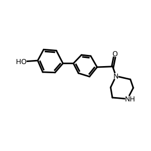 O=C(c1ccc(-c2ccc(O)cc2)cc1)N1CCNCC1